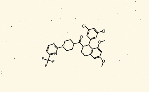 COc1cc2c(c(OC)c1)C(c1cc(Cl)cc(Cl)c1)N(C(=O)C1CCN(c3nccc(C(F)(F)F)n3)CC1)CC2